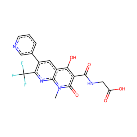 Cn1c(=O)c(C(=O)NCC(=O)O)c(O)c2cc(-c3cccnc3)c(C(F)(F)F)nc21